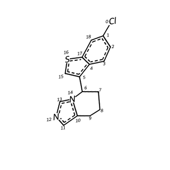 Clc1ccc2c(C3CCCc4cncn43)csc2c1